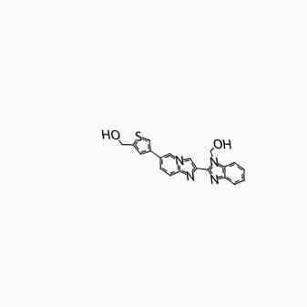 OCc1cc(-c2ccc3nc(-c4nc5ccccc5n4CO)cn3c2)cs1